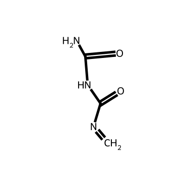 C=NC(=O)NC(N)=O